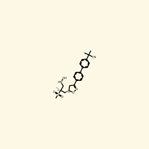 CC(C)(C#N)c1ccc(-c2ccc(C3=NO[C@@H](C[C@](C)(CNO)S(C)(=O)=O)C3)cc2)cc1